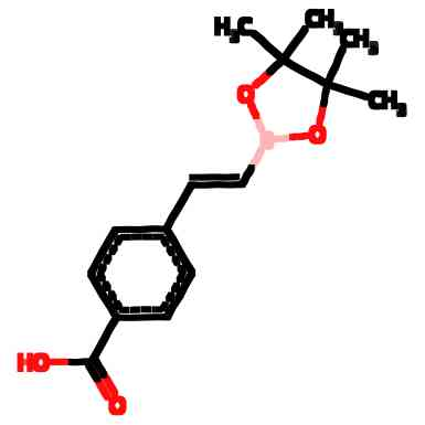 CC1(C)OB(C=Cc2ccc(C(=O)O)cc2)OC1(C)C